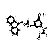 CC(C)(C)OC(=O)Nc1cc(NC(=O)OCC2c3ccccc3-c3ccccc32)cc(C(=O)O)c1